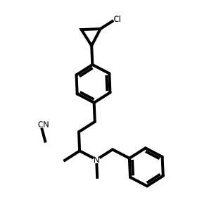 CC#N.CC(CCc1ccc(C2CC2Cl)cc1)N(C)Cc1ccccc1